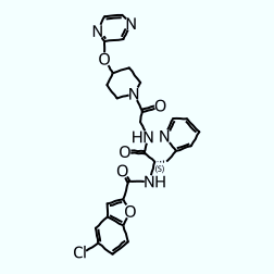 O=C(N[C@@H](Cc1ccccn1)C(=O)NCC(=O)N1CCC(Oc2cnccn2)CC1)c1cc2cc(Cl)ccc2o1